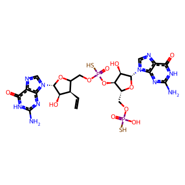 C=C[C@@H]1C(COP(=O)(S)O[C@H]2[C@@H](O)[C@H](n3cnc4c(=O)[nH]c(N)nc43)O[C@@H]2COP(=O)(O)S)O[C@@H](n2cnc3c(=O)[nH]c(N)nc32)[C@@H]1O